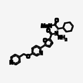 CNC(=O)[C@H](C1CCCCC1)N(N)C(=O)c1ccc(-c2ccc(OCc3ccncc3)cn2)o1